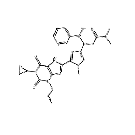 CCCn1c(=O)n(C2CC2)c(=O)c2[nH]c(-c3cc(N(CC(=O)N(C)C)[S+]([O-])c4cccnc4)nn3C)nc21